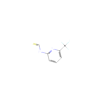 FC(F)(F)c1cccc(N[C]=S)n1